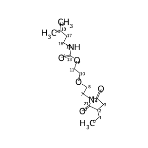 CCC1CC(=O)N(CCOCCOC(=O)NCCC(C)C)C1=O